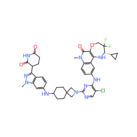 Cn1nc(C2CCC(=O)NC2=O)c2ccc(NC3CCC4(CC3)CN(c3ncc(Cl)c(Nc5ccc6c(c5)c5c(c(=O)n6C)OCC(F)(F)[C@H](C6CC6)N5)n3)C4)cc21